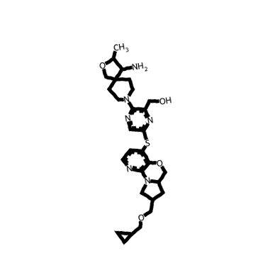 CC1OCC2(CCN(c3ncc(Sc4ccnc5c4OCC4CC(COCC6CC6)CN54)nc3CO)CC2)C1N